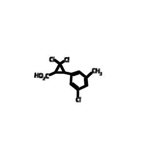 Cc1cc(Cl)cc(C2C(C(=O)O)C2(Cl)Cl)c1